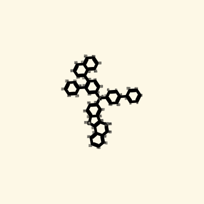 c1ccc(-c2ccc(N(c3ccc(-c4cccc5ccccc45)c(-c4ccccc4)c3)c3ccc4oc5c6ccccc6cnc5c4c3)cc2)cc1